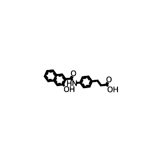 O=C(O)CCc1ccc(NC(=O)c2cc3ccccc3cc2O)cc1